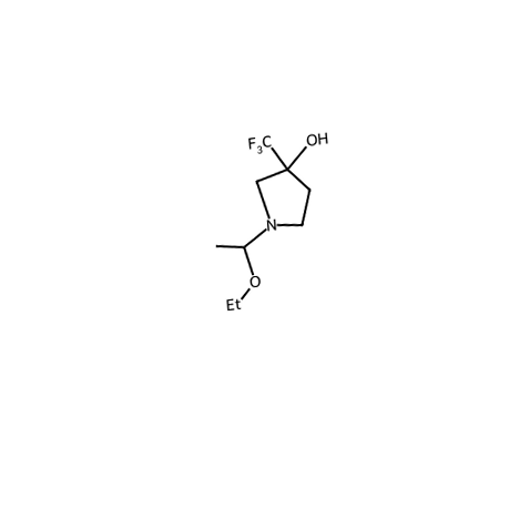 CCOC(C)N1CCC(O)(C(F)(F)F)C1